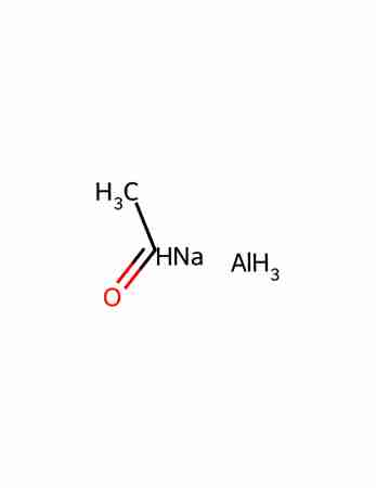 CC=O.[AlH3].[NaH]